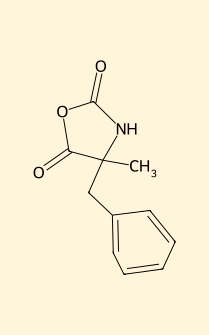 CC1(Cc2ccccc2)NC(=O)OC1=O